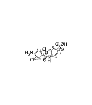 Nc1cc(Cl)c(S(=O)(=O)Nc2ccc(S(=O)(=O)O)cc2)cc1Cl